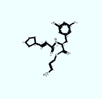 C/C=C/COC(=O)[C@H](Cc1cc(F)cc(F)c1)NC(=O)/C=C/C1CCCC1